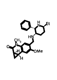 CC[C@H]1CC[C@H](NCc2cc3c(cc2OC)[C@H]2C[C@H]2C(=O)N3C)[C@H](c2ccccc2)N1